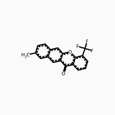 Cc1ccc2cc3oc4c(C(F)(F)F)cccc4c(=O)c3cc2c1